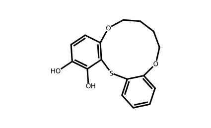 Oc1ccc2c(c1O)Sc1ccccc1OCCCCO2